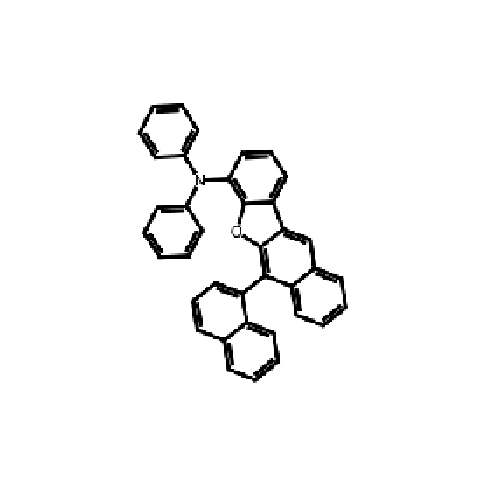 c1ccc(N(c2ccccc2)c2cccc3c2oc2c(-c4cccc5ccccc45)c4ccccc4cc23)cc1